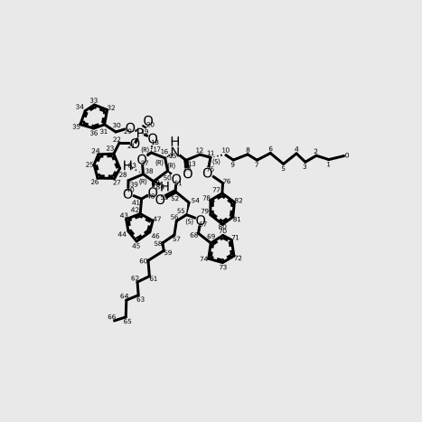 CCCCCCCCCCC[C@@H](CC(=O)N[C@H]1[C@@H](OP(=O)(OCc2ccccc2)OCc2ccccc2)O[C@@H]2COC(c3ccccc3)O[C@H]2[C@@H]1OC(=O)C[C@H](CCCCCCCCCCC)OCc1ccccc1)OCc1ccccc1